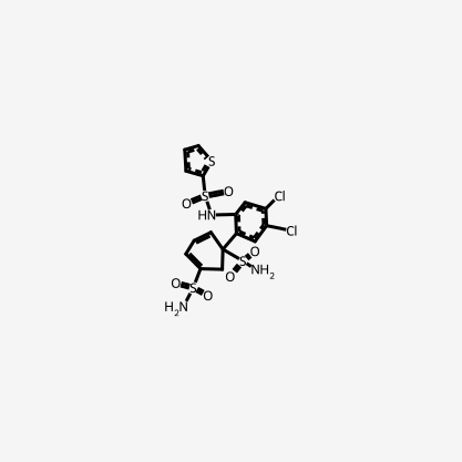 NS(=O)(=O)C1=CC=CC(c2cc(Cl)c(Cl)cc2NS(=O)(=O)c2cccs2)(S(N)(=O)=O)C1